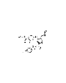 COC(=O)N1CC[C@H](Oc2cc(C(=O)NCc3ccc(Cl)cc3)ncc2CNC2CC2)C[C@H]1C